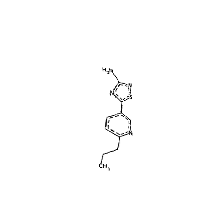 CCCc1ccc(-c2nc(N)ns2)cn1